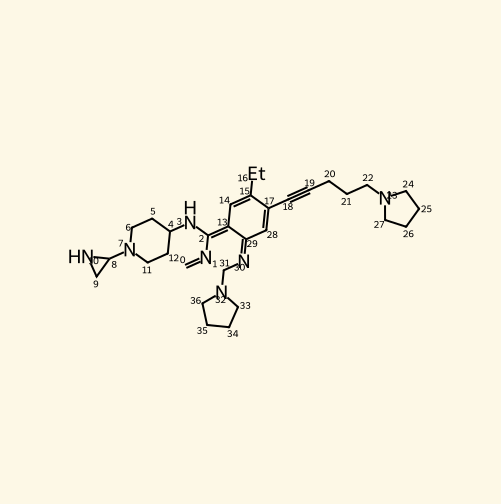 C=N/C(NC1CCN(C2CN2)CC1)=C1/C=C(CC)C(C#CCCCN2CCCC2)=C/C1=N/CN1CCCC1